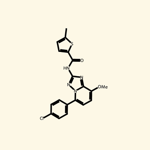 COc1ccc(-c2ccc(Cl)cc2)n2nc(NC(=O)c3ccc(C)s3)nc12